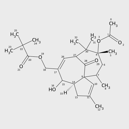 CC(=O)O[C@]1(C)CC(C)C23C=C(C)C[C@H]2C(O)C(COC(=O)C(C)(C)C)=CC(C3=O)C1(C)C